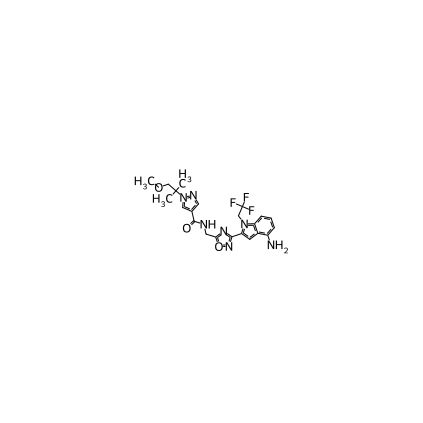 COCC(C)(C)n1cc(C(=O)NCc2nc(-c3cc4c(N)cccc4n3CC(F)(F)F)no2)cn1